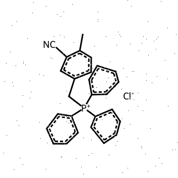 Cc1ccc(C[P+](c2ccccc2)(c2ccccc2)c2ccccc2)cc1C#N.[Cl-]